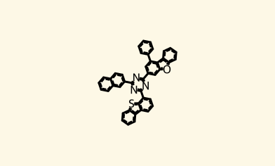 c1ccc(-c2cc(-c3nc(-c4ccc5ccccc5c4)nc(-c4cccc5c4sc4ccccc45)n3)cc3oc4ccccc4c23)cc1